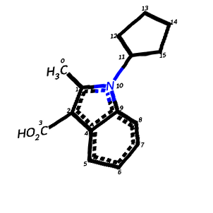 Cc1c(C(=O)O)c2ccccc2n1C1CCCC1